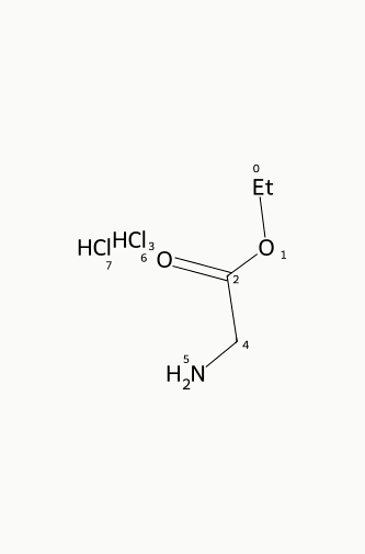 CCOC(=O)CN.Cl.Cl